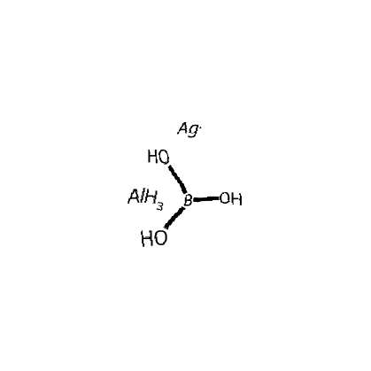 OB(O)O.[Ag].[AlH3]